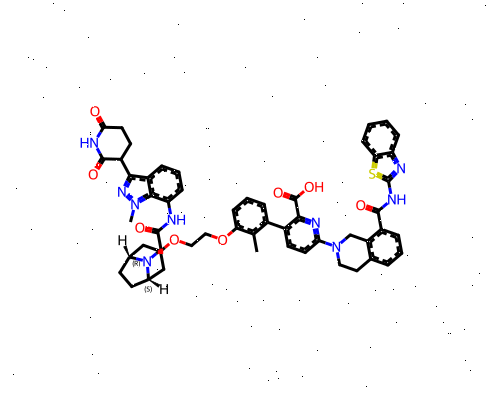 Cc1c(OCCOC2C[C@H]3CC[C@@H](C2)N3CC(=O)Nc2cccc3c(C4CCC(=O)NC4=O)nn(C)c23)cccc1-c1ccc(N2CCc3cccc(C(=O)Nc4nc5ccccc5s4)c3C2)nc1C(=O)O